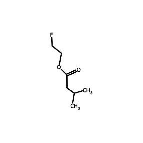 CC(C)CC(=O)OCCF